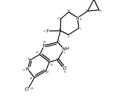 O=c1[nH]c(C2(F)CCN(C3CC3)CC2)nc2cnc(Cl)cc12